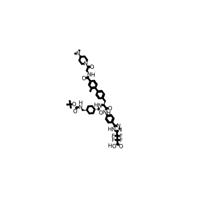 Cc1cc(C(=O)NCC(=O)N2CCC(N(C)C)CC2)ccc1-c1ccc(C[C@H](NC(=O)[C@H]2CC[C@H](CNC(=O)OC(C)(C)C)CC2)C(=O)Nc2ccc(-c3nnc(C(F)(F)C(F)(F)C(=O)O)[nH]3)cc2)cc1